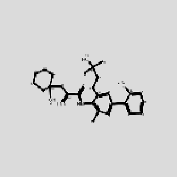 C=C(Nc1c(C)cc(-c2ccccc2C(F)(F)F)cc1CCC(C)(C)O)C(=N)CC1(O)CCCCC1